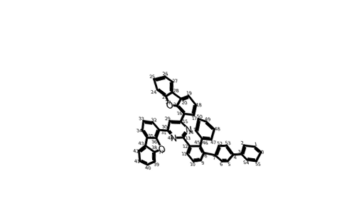 c1ccc(-c2ccc(-c3cccc(-c4nc(-c5cccc6c5oc5ccccc56)cc(-c5cccc6c5oc5ccccc56)n4)c3-c3ccccc3)cc2)cc1